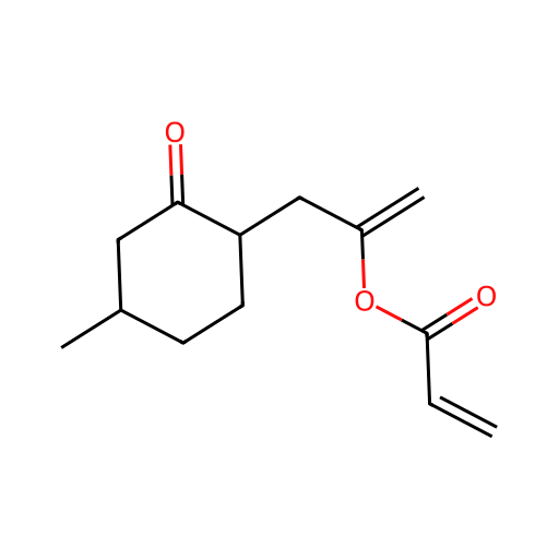 C=CC(=O)OC(=C)CC1CCC(C)CC1=O